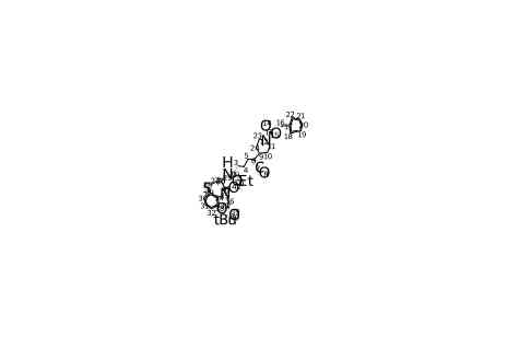 CCO[C@@H](CCCC(=C=O)C1CCN(C(=O)OCc2ccccc2)CC1)N[C@H]1CSc2ccccc2N(CC(=O)OC(C)(C)C)C1=O